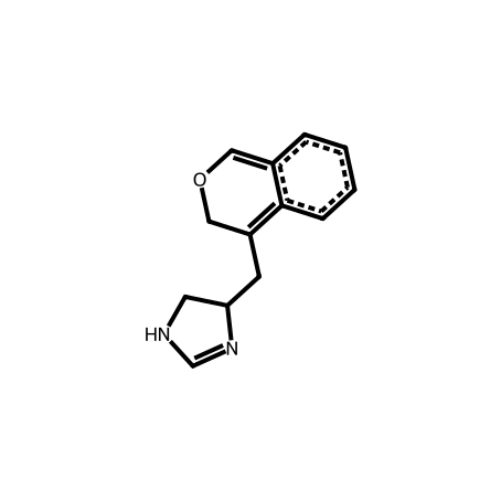 C1=NC(CC2=c3ccccc3=COC2)CN1